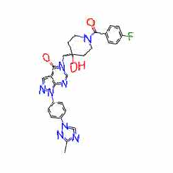 Cc1ncn(-c2ccc(-n3ncc4c(=O)n(CC5(O)CCN(C(=O)c6ccc(F)cc6)CC5)cnc43)cc2)n1